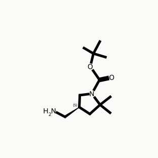 CC(C)(C)OC(=O)N1C[C@H](CN)CC1(C)C